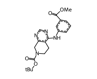 COC(=O)c1cccc(Nc2ncnc3c2CCN(C(=O)OC(C)(C)C)C3)c1